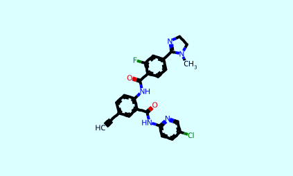 C#Cc1ccc(NC(=O)c2ccc(C3=NCCN3C)cc2F)c(C(=O)Nc2ccc(Cl)cn2)c1